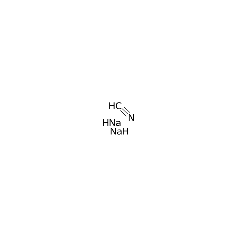 C#N.[NaH].[NaH]